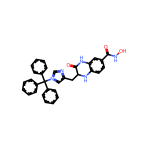 O=C(NO)c1ccc2c(c1)NC(=O)C(Cc1cn(C(c3ccccc3)(c3ccccc3)c3ccccc3)cn1)N2